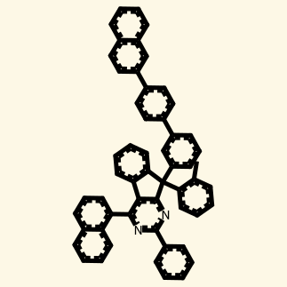 Cc1ccccc1C1(c2cccc(-c3ccc(-c4ccc5ccccc5c4)cc3)c2)c2ccccc2-c2c(-c3cccc4ccccc34)nc(-c3ccccc3)nc21